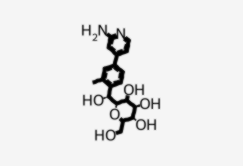 Cc1cc(-c2ccnc(N)c2)ccc1[C@@H](O)[C@H]1OC(CO)[C@@H](O)[C@H](O)C1O